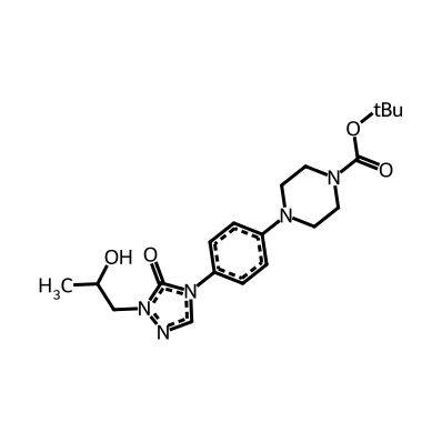 CC(O)Cn1ncn(-c2ccc(N3CCN(C(=O)OC(C)(C)C)CC3)cc2)c1=O